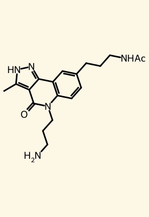 CC(=O)NCCCc1ccc2c(c1)c1n[nH]c(C)c1c(=O)n2CCCN